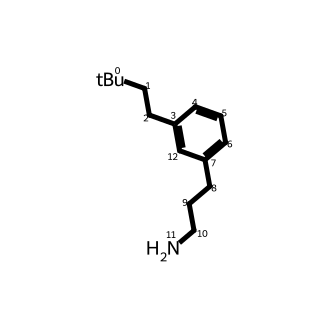 CC(C)(C)CCc1cccc(CCCN)c1